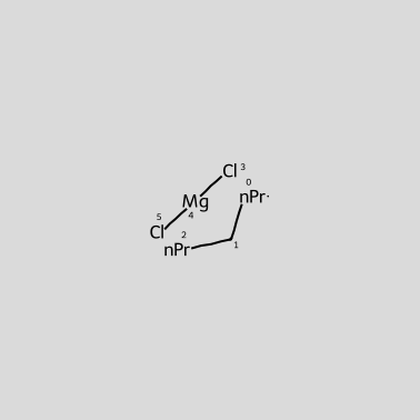 CC[CH]CCCC.[Cl][Mg][Cl]